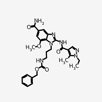 CCn1ncc(C(=O)Nc2nc3cc(C(N)=O)cc(OC)c3n2CCCNC(=O)OCc2ccccc2)c1C